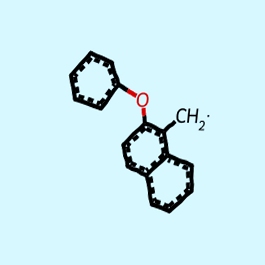 [CH2]c1c(Oc2ccccc2)ccc2ccccc12